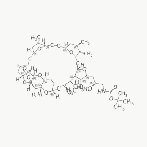 C=C1C2C[C@@H]3O[C@H](C[C@H](O)CNC(=O)OC(C)(C)C)[C@H](OC)[C@H]3C(C)C(=O)C[C@H]3CC[C@@H]4O[C@@H]5[C@H]6O[C@@H]7C[C@](CC[C@H]8CC(=C)[C@H](CC[C@@H](C[C@H]1C)O2)O8)(O[C@H]6[C@H]4O3)O[C@H]57